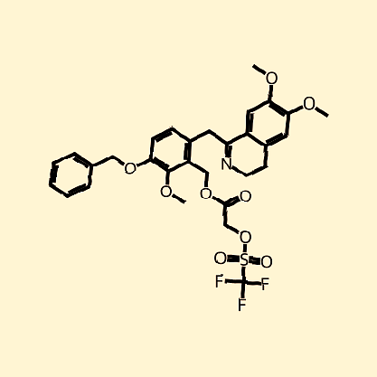 COc1cc2c(cc1OC)C(Cc1ccc(OCc3ccccc3)c(OC)c1COC(=O)COS(=O)(=O)C(F)(F)F)=NCC2